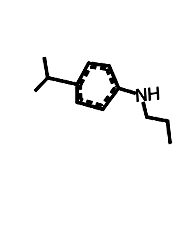 CCCNc1ccc(C(C)C)cc1